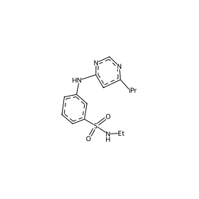 CCNS(=O)(=O)c1cccc(Nc2cc(C(C)C)ncn2)c1